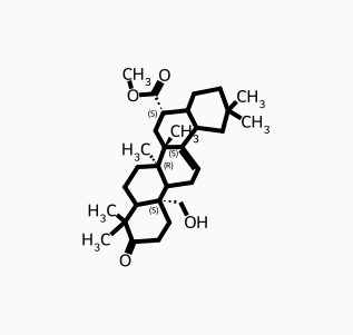 COC(=O)[C@H]1C[C@]2(C)C(=CCC3[C@@]4(CO)CCC(=O)C(C)(C)C4CC[C@]32C)C2CC(C)(C)CCC21